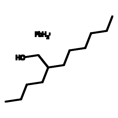 CCCCCCC(CO)CCCC.[PbH2]